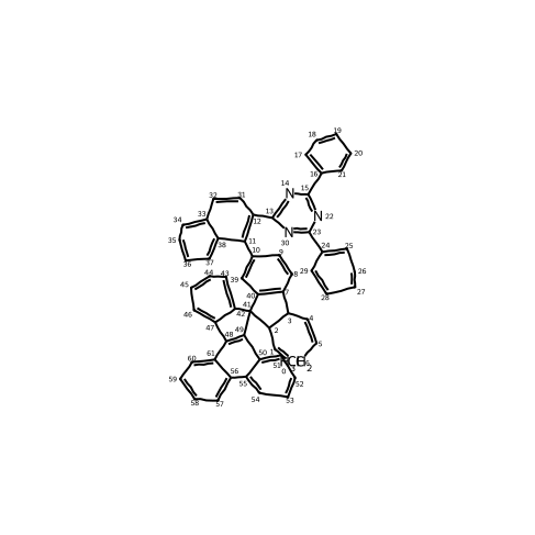 C=CC1C(/C=C\C)c2ccc(-c3c(-c4nc(-c5ccccc5)nc(-c5ccccc5)n4)ccc4ccccc34)cc2C12c1ccccc1-c1c2c2ccccc2c2ccccc12